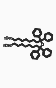 CCCCCCCCCCCCCCCCCC(OC(CCCCCCCCCCCCCCCCC)(c1ccccc1)c1ccccc1)(c1ccccc1)c1ccccc1